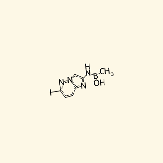 CB(O)Nc1cn2nc(I)ccc2n1